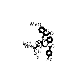 CN[C@@H](C)C(=O)N[C@H]1CN(C(=O)c2ccc(C(C)=O)cc2)c2ccccc2N(Cc2cc(=O)oc3cc(OC)ccc23)C1=O.Cl